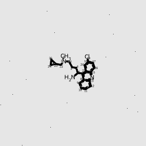 CN(CCCC(N)c1c2ccccc2nc2ccc(Cl)cc12)CC1CC1